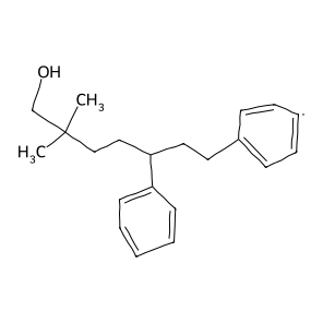 CC(C)(CO)CCC(CCc1cc[c]cc1)c1ccccc1